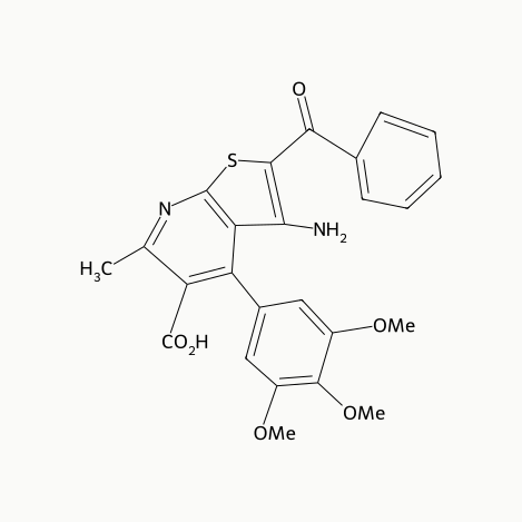 COc1cc(-c2c(C(=O)O)c(C)nc3sc(C(=O)c4ccccc4)c(N)c23)cc(OC)c1OC